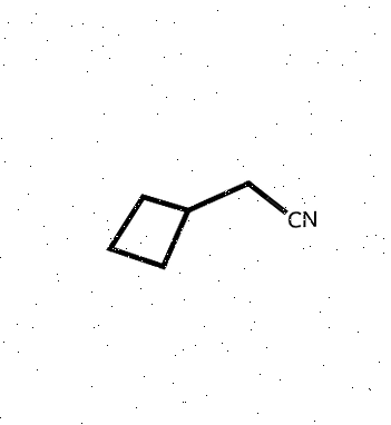 N#CCC1CCC1